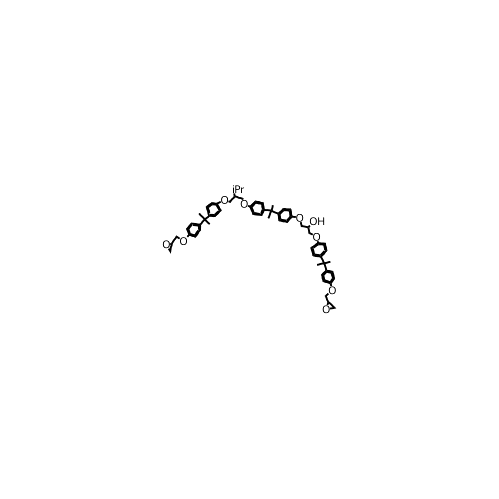 CC(C)C(COc1ccc(C(C)(C)c2ccc(OCC(O)COc3ccc(C(C)(C)c4ccc(OCC5CO5)cc4)cc3)cc2)cc1)COc1ccc(C(C)(C)c2ccc(OCC3CO3)cc2)cc1